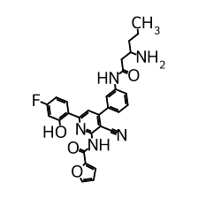 CCCC(N)CC(=O)Nc1cccc(-c2cc(-c3ccc(F)cc3O)nc(NC(=O)c3ccco3)c2C#N)c1